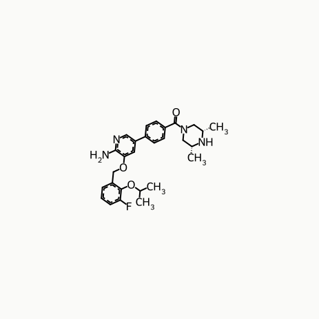 CC(C)Oc1c(F)cccc1COc1cc(-c2ccc(C(=O)N3C[C@@H](C)N[C@@H](C)C3)cc2)cnc1N